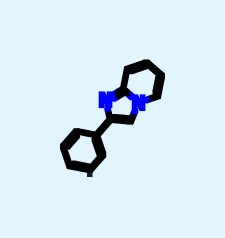 [c]1cccc(-c2cn3ccccc3n2)c1